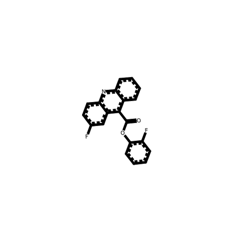 O=C(Oc1ccccc1F)c1c2ccccc2nc2ccc(F)cc12